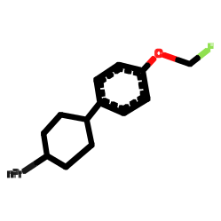 CCCC1CCC(c2ccc(OCF)cc2)CC1